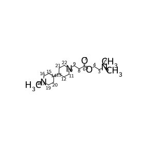 CN(C)CCOC(=O)CCN1CCC(C2CCN(C)CC2)CC1